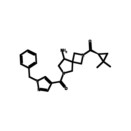 CC1(C)C[C@@H]1C(=O)N1CC2(CN(C(=O)c3cnn(Cc4ccccc4)c3)CC2N)C1